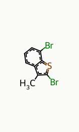 Cc1c(Br)sc2c(Br)cccc12